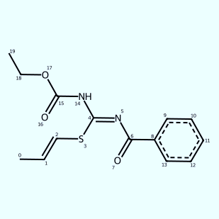 CC=CSC(=NC(=O)c1ccccc1)NC(=O)OCC